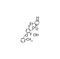 CCC1CNCCN1C(=O)OCc1c(F)ccc(OCc2ccccc2C)c1F.Cl